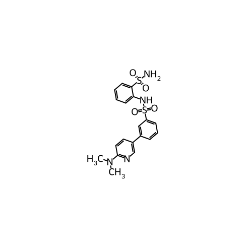 CN(C)c1ccc(-c2cccc(S(=O)(=O)Nc3ccccc3S(N)(=O)=O)c2)cn1